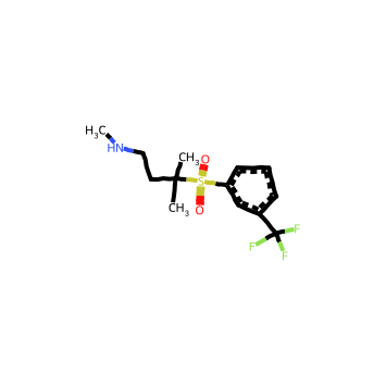 CNCCC(C)(C)S(=O)(=O)c1cccc(C(F)(F)F)c1